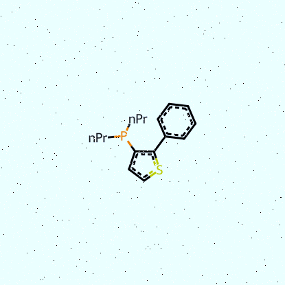 CCCP(CCC)c1ccsc1-c1ccccc1